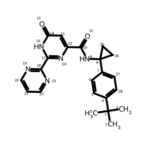 CC(C)(C)c1ccc(C2(NC(=O)c3cc(=O)[nH]c(-c4ncccn4)n3)CC2)cc1